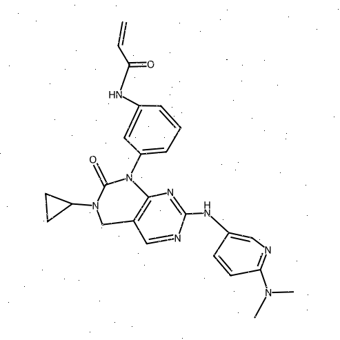 C=CC(=O)Nc1cccc(N2C(=O)N(C3CC3)Cc3cnc(Nc4ccc(N(C)C)nc4)nc32)c1